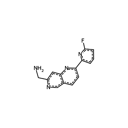 NCc1cc2nc(-c3cccc(F)n3)ccc2cn1